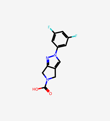 O=C(O)N1Cc2cn(-c3cc(F)cc(F)c3)nc2C1